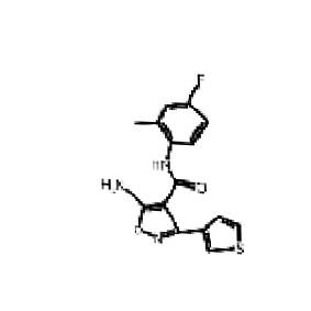 Cc1cc(F)ccc1NC(=O)c1c(-c2ccsc2)noc1N